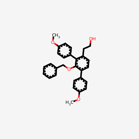 COc1ccc(-c2c[c]c(CCO)c(-c3ccc(OC)cc3)c2OCc2ccccc2)cc1